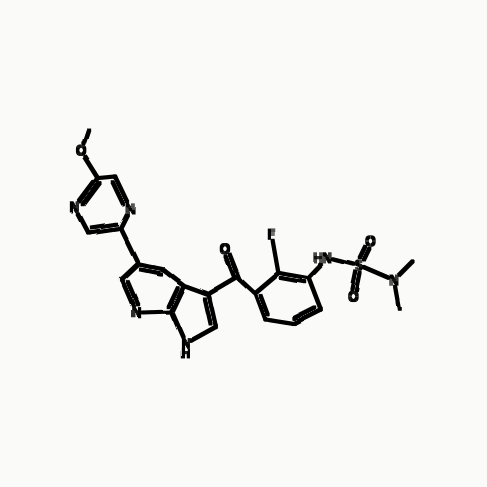 COc1cnc(-c2cnc3[nH]cc(C(=O)c4cccc(NS(=O)(=O)N(C)C)c4F)c3c2)cn1